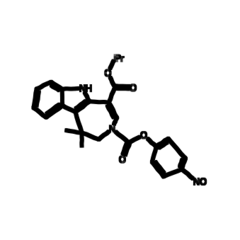 CC(C)OC(=O)C1=CN(C(=O)Oc2ccc(N=O)cc2)CC(C)(C)c2c1[nH]c1ccccc21